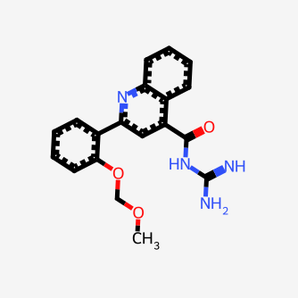 COCOc1ccccc1-c1cc(C(=O)NC(=N)N)c2ccccc2n1